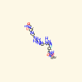 Cc1cc(N2CCC(CNCCNc3ccc(-c4cc5c(-c6ccc([C@@H](C)NC(=O)c7noc(C(C)(C)C)n7)c(C)c6F)ncnc5[nH]4)cn3)CC2)ccc1N1CCC(=O)NC1=O